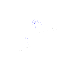 NC(=C[N+](=O)[O-])N1CCCC1